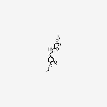 CCCOc1ccc(CCNC(=O)CC(=O)OCC)cc1OC